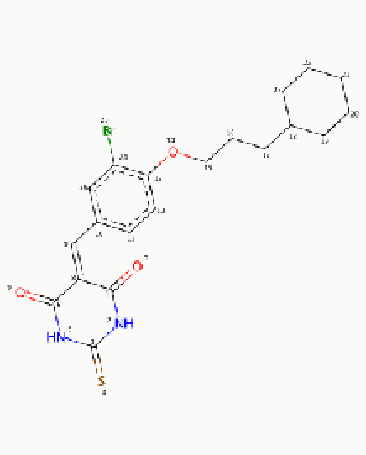 O=C1NC(=S)NC(=O)C1=Cc1ccc(OCCCC2CCCCC2)c(Br)c1